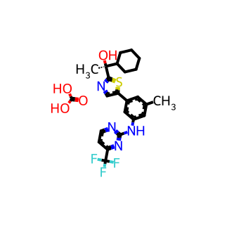 Cc1cc(Nc2nccc(C(F)(F)F)n2)cc(-c2cnc([C@@](C)(O)C3CCCCC3)s2)c1.O=C(O)O